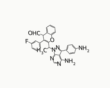 CC(C1=C(c2cccc(F)c2)C(C=O)c2ccccc2O1)n1nc(-c2ccc(N)cc2)c2c(N)ncnc21